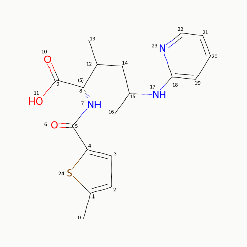 Cc1ccc(C(=O)N[C@H](C(=O)O)C(C)CC(C)Nc2ccccn2)s1